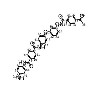 CNc1ccc(NC(=O)c2ccc(C(=O)Nc3ccc(Oc4cccc(ONC(=O)c5ccc(C(C)=O)cc5)c4)cc3)cc2)cc1